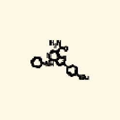 CC(C)(C)c1ccc(-c2cc3c(Nc4ccccc4)ncc(C(N)=O)c3s2)cc1